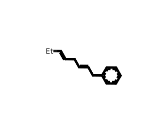 [CH2]CC=CCC=CCc1ccccc1